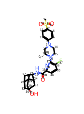 C[C@@H]1CN(c2ccc(S(C)(=O)=O)cc2)CCN1c1nc(C(=O)NC2C3CC4CC2CC(O)(C4)C3)ccc1F